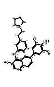 CC(=O)c1cnc2ccc(-c3cc(Cl)c(O)c(Cl)c3)cc2c1Nc1cccc(CCN2CCCC2)c1